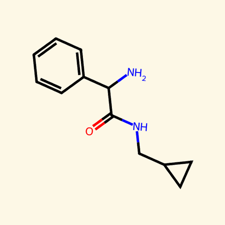 NC(C(=O)NCC1CC1)c1ccccc1